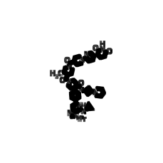 CC1CN(C(=O)C2CCN(c3ccc([C@H]4CCC(=O)NC4=O)cn3)CC2)CCC1C(=O)N1CCC2(CC1)C(=O)N(C1CC(N3CCCCC3)C1)c1cc(-c3cc4ncn(C(C)C)c4c(NC4CC4)n3)ccc12